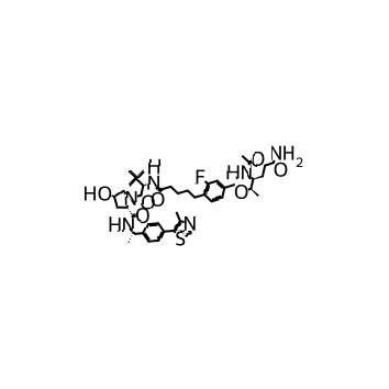 CC(=O)N[C@@H](CCC(N)=O)[C@@H](C)OCc1ccc(CCCCC(=O)N[C@H](C(=O)N2C[C@H](O)C[C@H]2C(=O)N[C@@H](C)c2ccc(-c3scnc3C)cc2)C(C)(C)C)c(F)c1